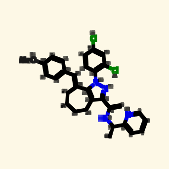 C=C(N[C@H](C)c1ccccn1)c1nn(-c2ccc(Cl)cc2Cl)c2c1CCCC/C2=C\c1ccc(OC)cc1